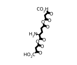 N[C@@H](CCC(=O)OC(=O)CC(=O)C(=O)O)C(=O)OC(=O)CC(=O)C(=O)O